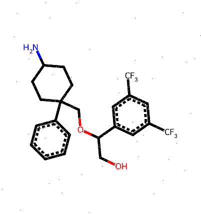 NC1CCC(COC(CO)c2cc(C(F)(F)F)cc(C(F)(F)F)c2)(c2ccccc2)CC1